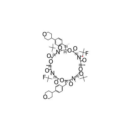 C[C@H]1OC(=O)[C@H](CC(C)(C)C)N(C)C(=O)[C@@H](Cc2ccc(C3CCOCC3)cc2)OC(=O)[C@H](CC(C)(C)F)N(C)C(=O)[C@@H](C)OC(=O)[C@H](CC(C)(C)C)N(C)C(=O)[C@@H]([C@@H](C)c2ccc(C3CCOCC3)cc2)OC(=O)[C@H](CC(C)(C)F)N(C)C1=O